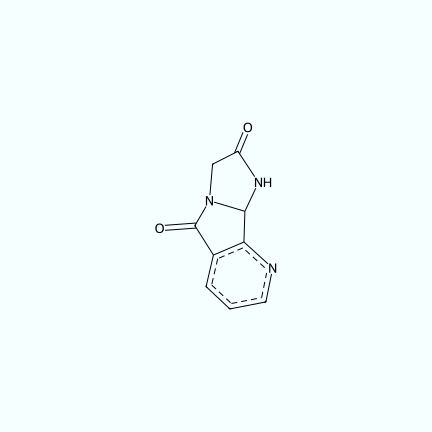 O=C1CN2C(=O)c3cccnc3C2N1